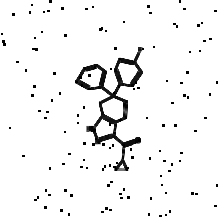 O=C(c1n[nH]c2c1C=CC(c1ccccc1)(c1ccc(F)cc1)C2)C1CC1